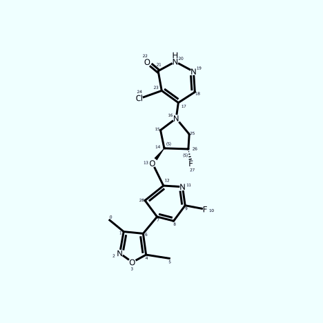 Cc1noc(C)c1-c1cc(F)nc(O[C@H]2CN(c3cn[nH]c(=O)c3Cl)C[C@@H]2F)c1